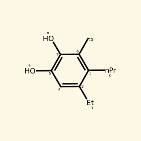 CCCc1c(CC)cc(O)c(O)c1C